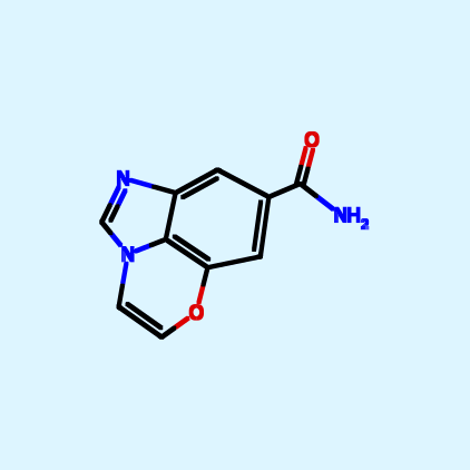 NC(=O)c1cc2c3c(c1)ncn3C=CO2